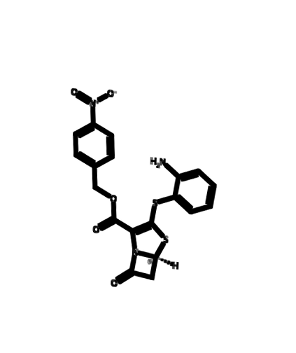 Nc1ccccc1SC1=C(C(=O)OCc2ccc([N+](=O)[O-])cc2)N2C(=O)C[C@@H]2S1